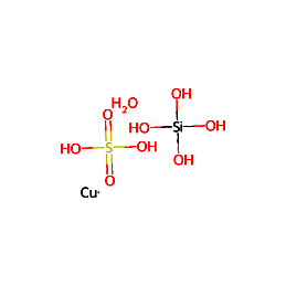 O.O=S(=O)(O)O.O[Si](O)(O)O.[Cu]